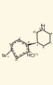 Brc1ccc([C@@H]2CCCNC2)cc1.Cl